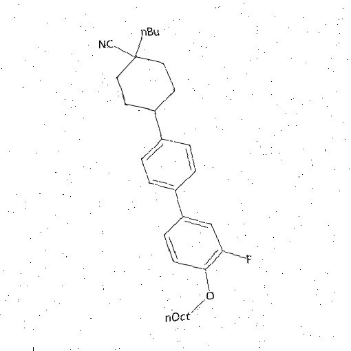 CCCCCCCCOc1ccc(-c2ccc(C3CCC(C#N)(CCCC)CC3)cc2)cc1F